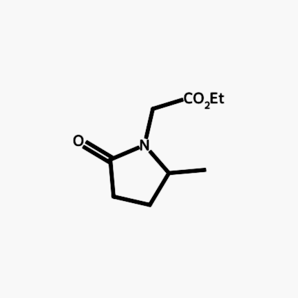 CCOC(=O)CN1C(=O)CCC1C